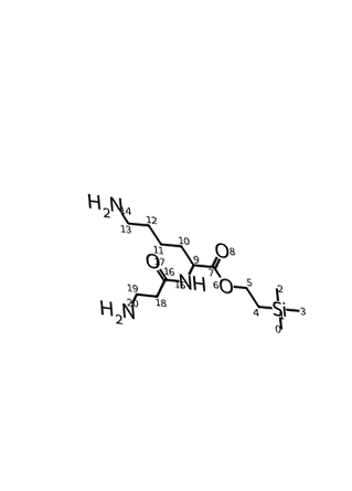 C[Si](C)(C)CCOC(=O)C(CCCCN)NC(=O)CCN